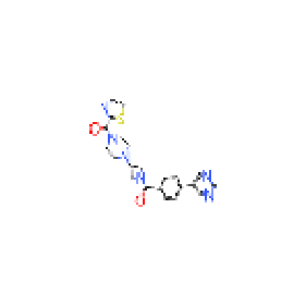 O=C(c1ccc(-c2cncnc2)cc1)N1CC(N2CCN(C(=O)c3nccs3)CC2)C1